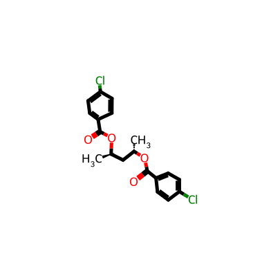 C[C@H](C[C@H](C)OC(=O)c1ccc(Cl)cc1)OC(=O)c1ccc(Cl)cc1